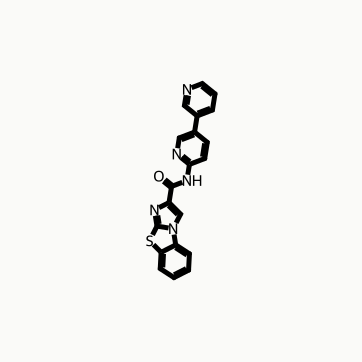 O=C(Nc1ccc(-c2cccnc2)cn1)c1cn2c(n1)sc1ccccc12